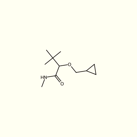 CNC(=O)C(OCC1CC1)C(C)(C)C